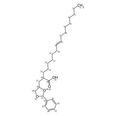 CCCCCCCC/C=C/CCCCCCC(CC1COC(c2ccccc2)O1)C(=O)O